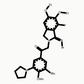 CCOc1cc2c(c(F)c1OCC)/C(=N/Br)N(CC(=O)c1cc(N3CCCC3)c(OC)c(C(C)(C)C)c1)C2